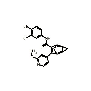 COc1cc(-c2c(C(=O)Nc3ccc(Cl)c(Cl)c3)c3oc2c2c3C2)ccn1